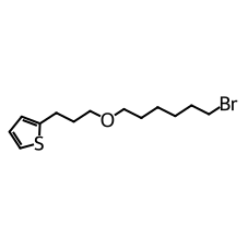 BrCCCCCCOCCCc1cccs1